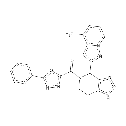 Cc1cccn2nc(C3c4nc[nH]c4CCN3C(=O)c3nnc(-c4cccnc4)o3)cc12